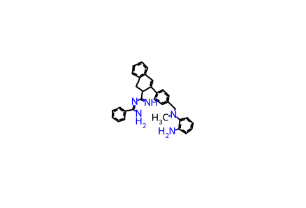 CN(Cc1ccc(C2=Cc3ccccc3CC2C(=N)/N=C(\N)c2ccccc2)cc1)c1ccccc1N